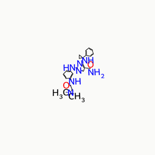 CN(C)CC(=O)Nc1cccc(Nc2ncc(C(N)=O)c(NC3(c4ccccc4)CC3)n2)c1